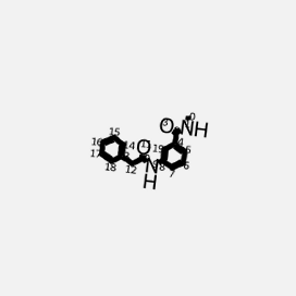 CNC(=O)c1cccc(NC(=O)Cc2ccccc2)c1